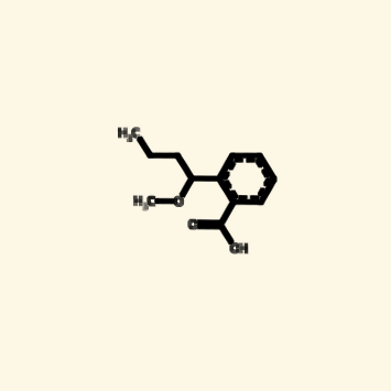 CCCC(OC)c1ccccc1C(=O)O